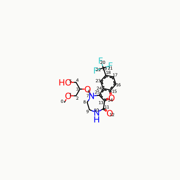 COCC(CO)ON1CCNC(=O)c2oc3ccc(C(F)(F)F)cc3c21